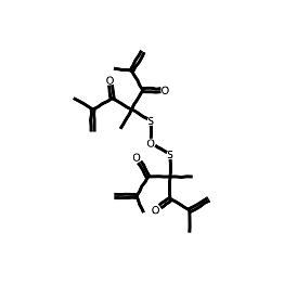 C=C(C)C(=O)C(C)(SOSC(C)(C(=O)C(=C)C)C(=O)C(=C)C)C(=O)C(=C)C